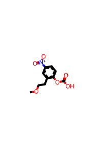 COCCc1cc([N+](=O)[O-])ccc1OC(=O)O